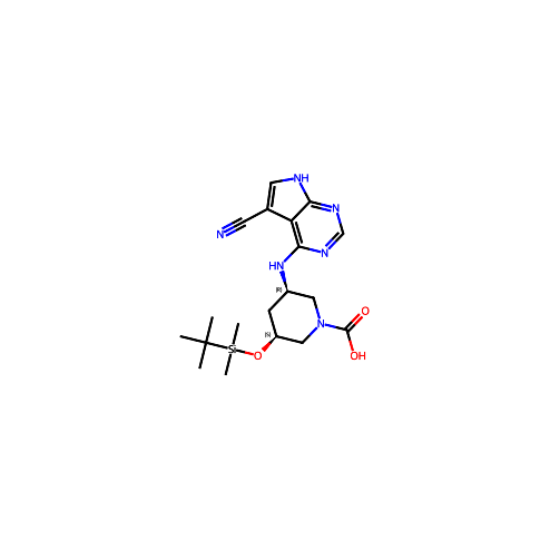 CC(C)(C)[Si](C)(C)O[C@H]1C[C@@H](Nc2ncnc3[nH]cc(C#N)c23)CN(C(=O)O)C1